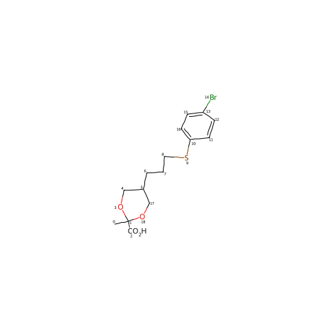 CC1(C(=O)O)OCC(CCCSc2ccc(Br)cc2)CO1